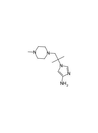 CN1CCN(CC(C)(C)n2cnc(N)c2)CC1